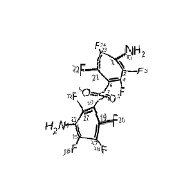 Nc1c(F)c(F)c(S(=O)(=O)c2c(F)c(N)c(F)c(F)c2F)c(F)c1F